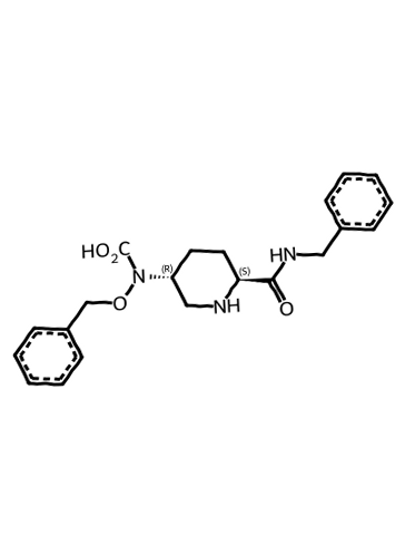 O=C(NCc1ccccc1)[C@@H]1CC[C@@H](N(OCc2ccccc2)C(=O)O)CN1